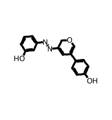 Oc1ccc(C2=COCC(N=Nc3cccc(O)c3)=C2)cc1